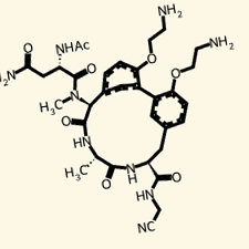 CC(=O)N[C@@H](CC(N)=O)C(=O)N(C)[C@@H]1C(=O)N[C@@H](C)C(=O)N[C@H](C(=O)NCC#N)Cc2ccc(OCCN)c(c2)-c2cc1ccc2OCCN